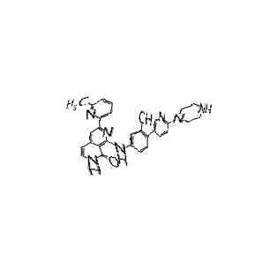 Cc1cccc(-c2cc3cc[nH]c(=O)c3c(Nc3ccc(-c4ccc(N5CCNCC5)nc4)c(C)c3)n2)n1